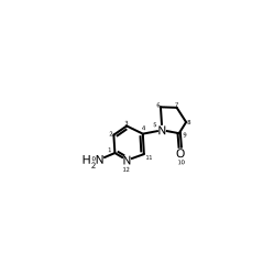 Nc1ccc(N2CCCC2=O)cn1